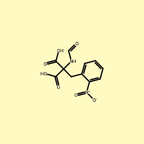 O=CNC(Cc1ccccc1[N+](=O)[O-])(C(=O)O)C(=O)O